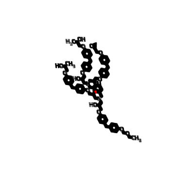 CCOCOc1ccc(Cc2ccc(OCC(O)CN(Cc3cccc(CN(CC(O)COc4ccc(Cc5ccc(OCC(C)O)cc5)cc4)CC(O)COc4ccc(Cc5ccc(OCC6CO6)cc5)cc4)c3)CC(O)COc3ccc(Cc4ccc(OCC(C)O)cc4)cc3)cc2)cc1